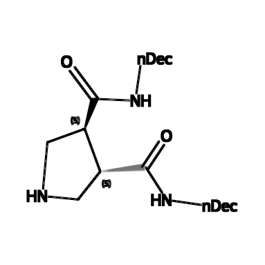 CCCCCCCCCCNC(=O)[C@@H]1CNC[C@H]1C(=O)NCCCCCCCCCC